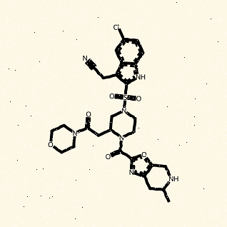 CC1Cc2nc(C(=O)N3CCN(S(=O)(=O)c4[nH]c5ccc(Cl)cc5c4CC#N)CC3CC(=O)N3CCOCC3)oc2CN1